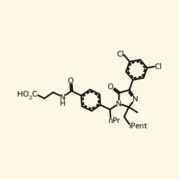 CCCC(C)CC1(C)N=C(c2cc(Cl)cc(Cl)c2)C(=O)N1C(CCC)c1ccc(C(=O)NCCC(=O)O)cc1